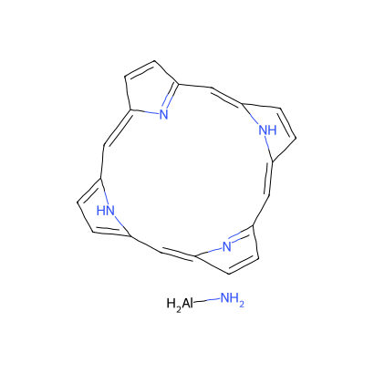 C1=Cc2cc3ccc(cc4nc(cc5ccc(cc1n2)[nH]5)C=C4)[nH]3.[NH2][AlH2]